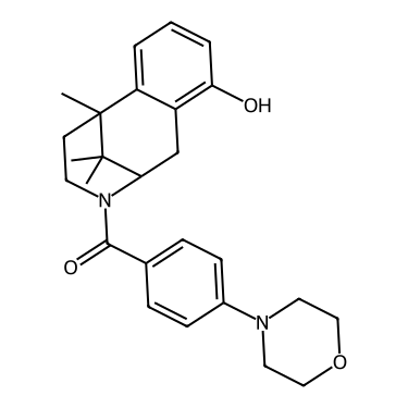 CC12CCN(C(=O)c3ccc(N4CCOCC4)cc3)C(Cc3c(O)cccc31)C2(C)C